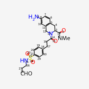 CNC(=O)C1Cc2ccc(N)cc2CN1C(=O)CCc1ccc(S(=O)(=O)NCCC=O)cc1